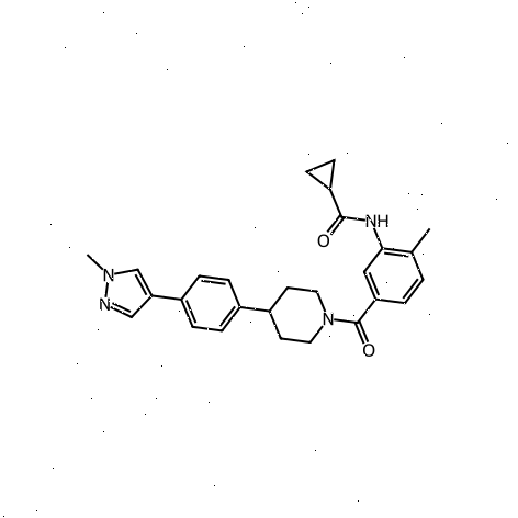 Cc1ccc(C(=O)N2CCC(c3ccc(-c4cnn(C)c4)cc3)CC2)cc1NC(=O)C1CC1